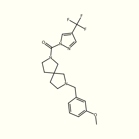 COc1cccc(CN2CCC3(CCN(C(=O)n4cc(C(F)(F)F)cn4)C3)C2)c1